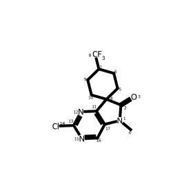 CN1C(=O)C2(CCC(C(F)(F)F)CC2)c2nc(Cl)ncc21